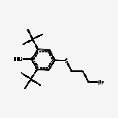 CC(C)(C)c1cc(SCCCBr)cc(C(C)(C)C)c1O